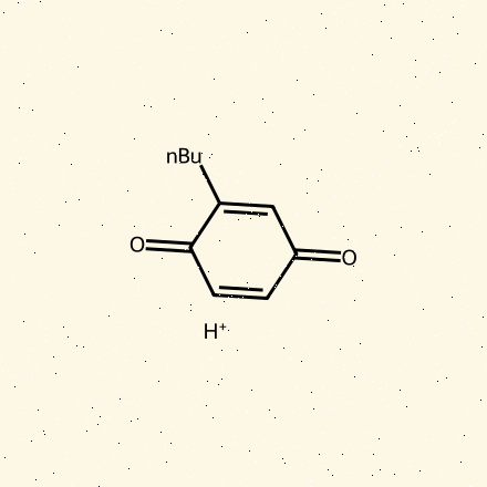 CCCCC1=CC(=O)C=CC1=O.[H+]